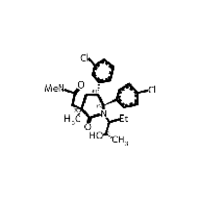 CCC([C@H](C)O)N1C(=O)[C@@](C)(CC(=O)NC)C[C@H](c2cccc(Cl)c2)[C@H]1c1ccc(Cl)cc1